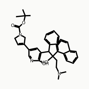 CN(C)CCC(O)(C1=C=C=Cc2ccccc21)C(c1ccccc1)c1cc(C2=CCN(C(=O)OC(C)(C)C)C2)cnc1O